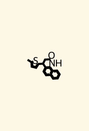 Cc1ccc(C2CC(=O)Nc3c2ccc2ccccc32)s1